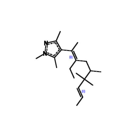 C/C=C/C(C)(C)C(C)C/C(CC)=C(\C)c1c(C)nn(C)c1C